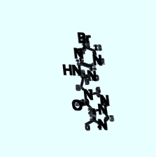 Cc1ncn2ncn(Cc3nc4ncc(Br)nc4[nH]3)c(=O)c12